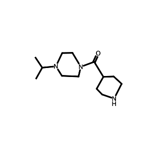 CC(C)N1CCN(C(=O)C2CCNCC2)CC1